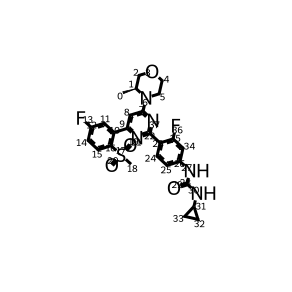 C[C@H]1COCCN1c1cc(-c2cc(F)ccc2S(C)(=O)=O)nc(-c2ccc(NC(=O)NC3CC3)cc2F)n1